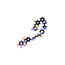 O=C1CCC(N2C(=O)c3ccc(NCCCCCC(=O)N4CCC(n5cc(-c6cnc7cccc(-c8cc(F)c(CC9CNCCO9)c(F)c8)c7n6)cn5)CC4)cc3C2=O)C(=O)N1